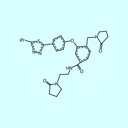 CC(C)c1nnc(-c2ccc(Oc3cc(C(=O)NCCN4CCCC4=O)ccc3CN3CCCC3=O)cc2)s1